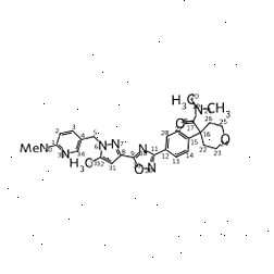 CNc1ccc(Cn2nc(-c3nc(-c4ccc(C5(C(=O)N(C)C)CCOCC5)cc4)no3)cc2C)cn1